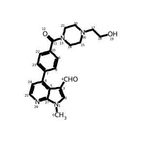 Cn1cc(C=O)c2c(-c3ccc(C(=O)N4CCN(CCO)CC4)cc3)ccnc21